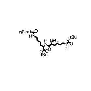 CCCCCC(=O)NCCCCC(NC(=O)C(N)CCCCNC(=O)OC(C)(C)C)C(=O)OC(C)(C)C